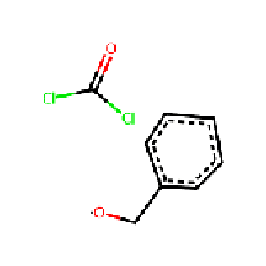 O=C(Cl)Cl.[O]Cc1ccccc1